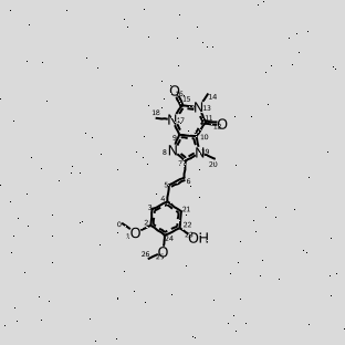 COc1cc(/C=C/c2nc3c(c(=O)n(C)c(=O)n3C)n2C)cc(O)c1OC